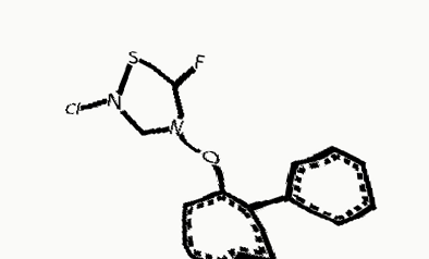 FC1SN(Cl)CN1Oc1ccccc1-c1ccccc1